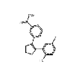 COC(=O)c1cccc(C2=C(c3cc(F)ccc3O)CCC2)n1